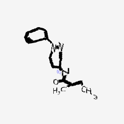 CC=C(C)C(=O)/N=c1\ccn(-c2ccccc2)nc1